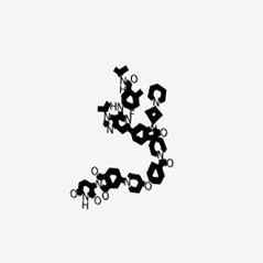 Cc1cc(F)c(Nc2nc(-c3ccc4c(c3)N([C@H]3C[C@@H](N5CCCCC5)C3)C(=O)C43CCN(C(=O)c4ccc(OC5CCN(c6ccc7c(c6)C(=O)N(C6CCC(=O)NC6=O)C7=O)CC5)cc4)CC3)cc3ncn(C(C)C)c23)cc1C(=O)NC(C)C